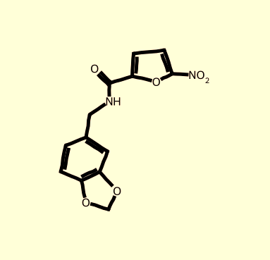 O=C(NCc1ccc2c(c1)OCO2)c1ccc([N+](=O)[O-])o1